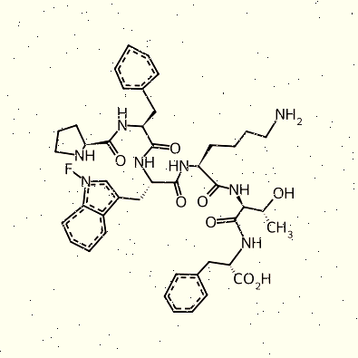 C[C@@H](O)[C@H](NC(=O)[C@H](CCCCN)NC(=O)[C@H](Cc1cn(F)c2ccccc12)NC(=O)[C@H](Cc1ccccc1)NC(=O)[C@@H]1CCCN1)C(=O)N[C@@H](Cc1ccccc1)C(=O)O